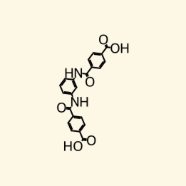 O=C(O)c1ccc(C(=O)Nc2cccc(NC(=O)c3ccc(C(=O)O)cc3)c2)cc1